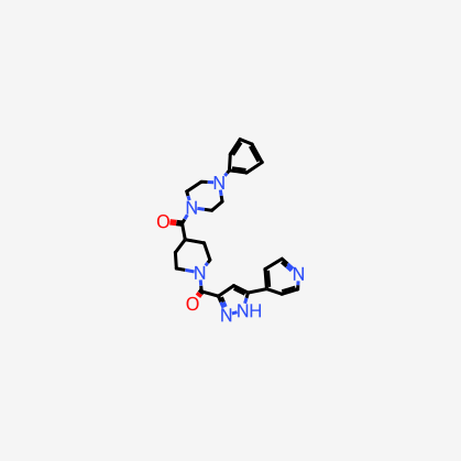 O=C(c1cc(-c2ccncc2)[nH]n1)N1CCC(C(=O)N2CCN(c3ccccc3)CC2)CC1